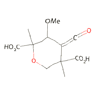 COC1C(=C=O)C(C)(C(=O)O)COC1(C)C(=O)O